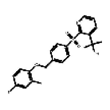 CC(C)(O)c1cccnc1S(=O)(=O)c1ccc(COc2ccc(F)cc2F)cc1